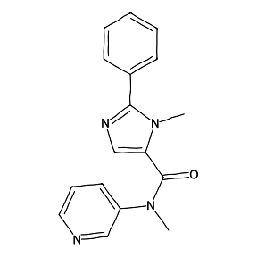 CN(C(=O)c1cnc(-c2ccccc2)n1C)c1cccnc1